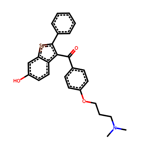 CN(C)CCCOc1ccc(C(=O)c2c(-c3ccccc3)sc3cc(O)ccc23)cc1